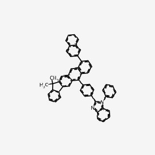 CC1(C)c2ccccc2-c2cc3c(-c4ccc(-c5nc6ccccc6n5-c5ccccc5)cc4)c4cccc(-c5ccc6ccccc6c5)c4cc3cc21